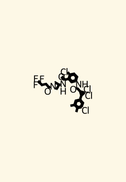 Cc1cc(C2C(C(=O)Nc3ccc(Cl)c(C(=O)NC4CN(C(=O)CCC(F)(F)F)C4)c3)C2(Cl)Cl)cc(Cl)c1C